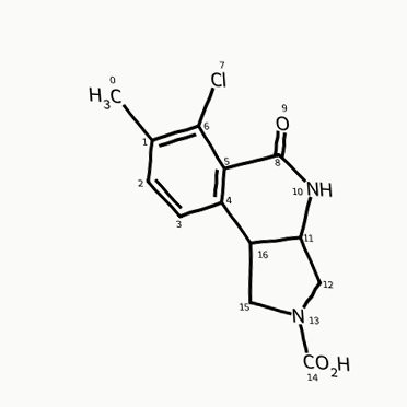 Cc1ccc2c(c1Cl)C(=O)NC1CN(C(=O)O)CC21